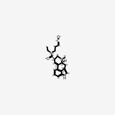 CCN(CCC=C=O)C(=O)[C@@H]1C=C2c3cccc4[nH]cc(c34)C[C@H]2N(C)C1